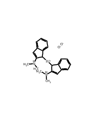 C[SiH](C)C1=Cc2ccccc2[CH]1[Zr+2][CH]1C([SiH](C)C)=Cc2ccccc21.[Cl-].[Cl-]